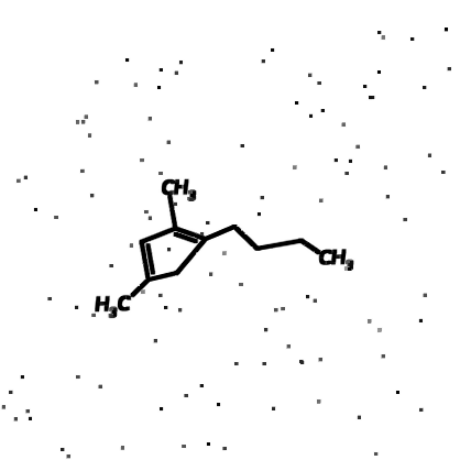 CCCCC1=C(C)C=C(C)C1